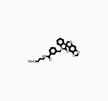 COCCCNC(=O)c1cccc(CN2C(=O)C3(COc4cc5c(cc43)OCO5)c3ccccc32)c1